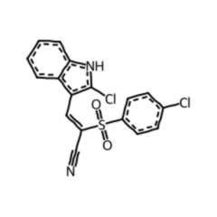 N#CC(=Cc1c(Cl)[nH]c2ccccc12)S(=O)(=O)c1ccc(Cl)cc1